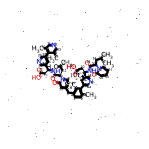 Cc1ccc(Cc2ccn([C@H](CC(C)C)C(=O)N[C@@H](CC(=O)O)c3cncc(-c4c(C)cncc4C)c3)c(=O)c2)c(C)c1C1=CN=CC(C)([C@@H](CC(=O)O)NC(=O)C(CC(C)C)n2ccccc2=O)C1